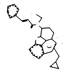 CC(=O)O[C@@]12CCC(N(CC(C)C)C(=O)/C=C/c3ccccc3)C3Oc4cccc5c4[C@@]31CCN(CC1CC1)[C@@H]2C5